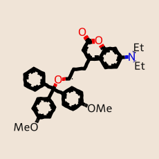 CCN(CC)c1ccc2c(CC[CH]OC(c3ccccc3)(c3ccc(OC)cc3)c3ccc(OC)cc3)cc(=O)oc2c1